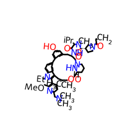 C=CC(=O)N1CC[C@H](C(=O)N(C)C(C(=O)N[C@H]2Cc3cc(O)cc(c3)-c3ccc4c(c3)c(c(-c3ccc(CN(C)C)nc3COC)n4CC)CC(C)(C)COC(=O)[C@@H]3CCCN(N3)C2=O)C(C)C)C1